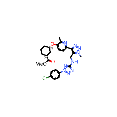 COC(=O)[C@H]1CCC[C@H](Oc2ccc(-c3nnn(C)c3CNc3nnn(-c4ccc(Cl)cc4)n3)nc2C)C1